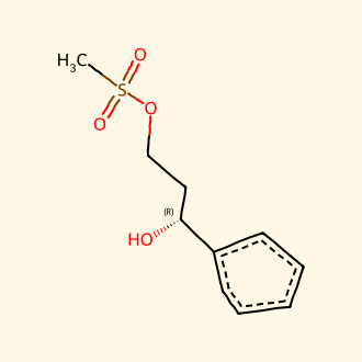 CS(=O)(=O)OCC[C@@H](O)c1ccccc1